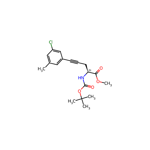 COC(=O)[C@H](CC#Cc1cc(C)cc(Cl)c1)NC(=O)OC(C)(C)C